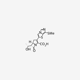 CSc1ncn2cc(C3=C(C(=O)O)N4C(=O)[C@H]([C@@H](C)O)[C@H]4C3)sc12